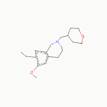 CCc1cc2c(cc1OC)CCN(CC1CCOCC1)C2